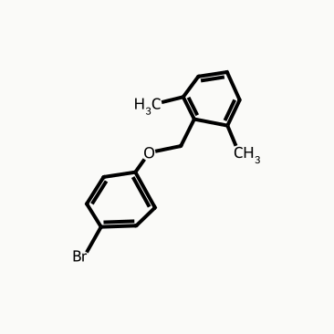 Cc1cccc(C)c1COc1ccc(Br)cc1